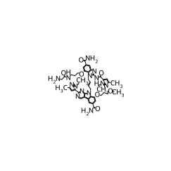 CCn1nc(C)cc1C(=O)Nc1nc2cc(C(N)=O)cc(OCCCNC(=O)CN)c2n1C/C=C/Cn1c2nc(-c3cc(C)nn3CC)ncc2c2cc(C(N)=O)cc(OCCCOC)c21